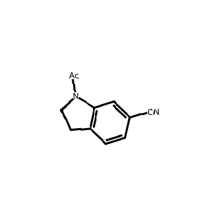 CC(=O)N1CCc2ccc(C#N)cc21